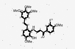 COc1ccc(C(=O)C=CNc2c(C=Cc3cc(OC)c(OC)c(OC)c3)ccc(OC)c2O)cc1F